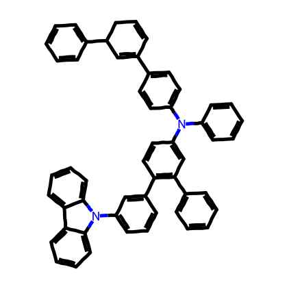 C1=CC(c2ccc(N(c3ccccc3)c3ccc(-c4cccc(-n5c6ccccc6c6ccccc65)c4)c(-c4ccccc4)c3)cc2)=CC(c2ccccc2)C1